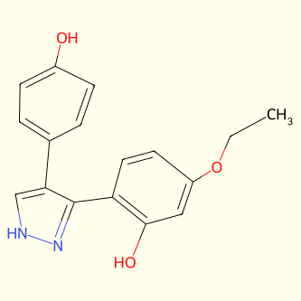 CCOc1ccc(-c2n[nH]cc2-c2ccc(O)cc2)c(O)c1